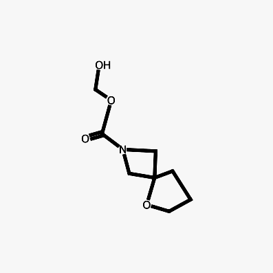 O=C(OCO)N1CC2(CCCO2)C1